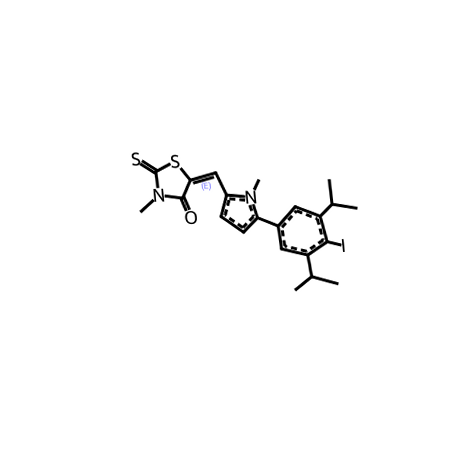 CC(C)c1cc(-c2ccc(/C=C3/SC(=S)N(C)C3=O)n2C)cc(C(C)C)c1I